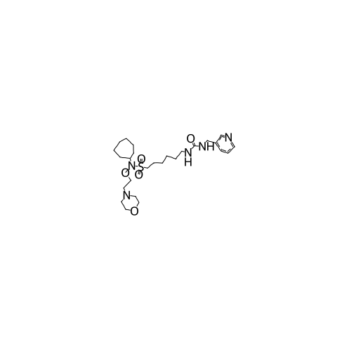 O=C(NCCCCCCS(=O)(=O)N(OCCN1CCOCC1)C1CCCCCC1)NCc1cccnc1